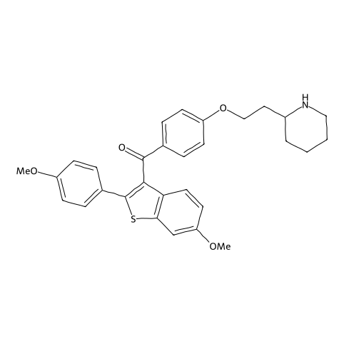 COc1ccc(-c2sc3cc(OC)ccc3c2C(=O)c2ccc(OCCC3CCCCN3)cc2)cc1